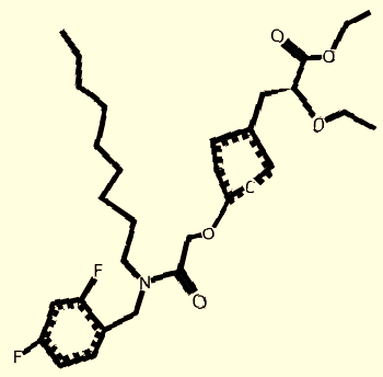 CCCCCCCCCN(Cc1ccc(F)cc1F)C(=O)COc1ccc(C[C@H](OCC)C(=O)OCC)cc1